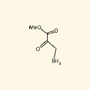 BCC(=O)C(=O)OC